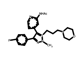 CC(=O)Nc1cc(C2=S(CCCN3CCOCC3)N(C)N=C2c2ccc(F)cc2)ccn1